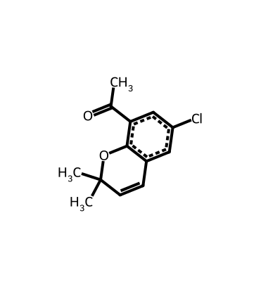 CC(=O)c1cc(Cl)cc2c1OC(C)(C)C=C2